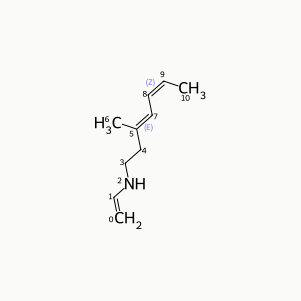 C=CNCC/C(C)=C/C=C\C